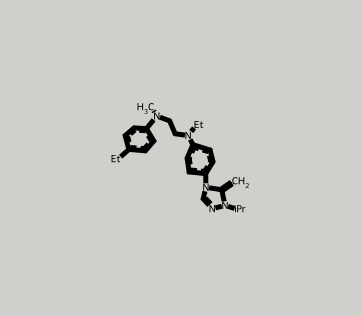 C=C1N(c2ccc(N(CC)CCN(C)c3ccc(CC)cc3)cc2)C=NN1C(C)C